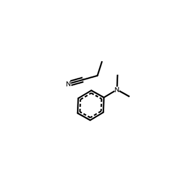 CCC#N.CN(C)c1ccccc1